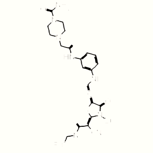 CCn1c(=O)c(=C=CNc2cccc(NC(=O)CN3CCN(C(N)=O)CC3)c2)s/c1=C(/C#N)C(=O)NCC(F)(F)F